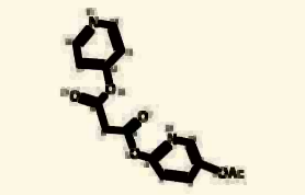 CC(=O)Oc1ccc(OC(=O)CC(=O)Oc2ccncc2)nc1